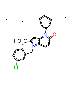 O=C(O)c1cc2c(ccc(=O)n2-c2ccccc2)n1Cc1cccc(Cl)c1